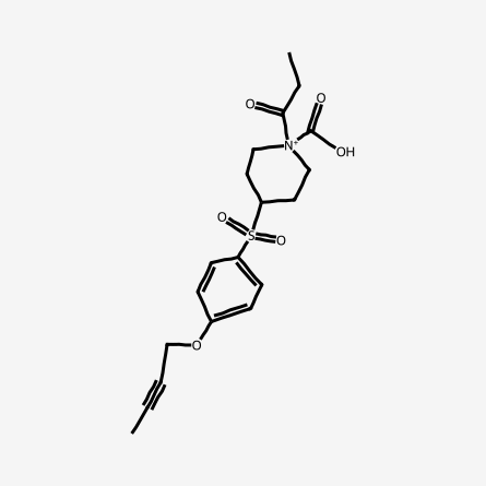 CC#CCOc1ccc(S(=O)(=O)C2CC[N+](C(=O)O)(C(=O)CC)CC2)cc1